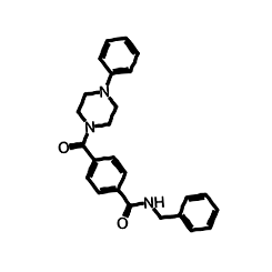 O=C(NCc1ccccc1)c1ccc(C(=O)N2CCN(c3ccccc3)CC2)cc1